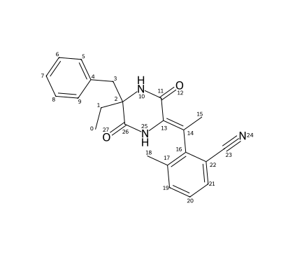 CCC1(Cc2ccccc2)NC(=O)C(=C(C)c2c(C)cccc2C#N)NC1=O